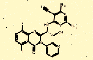 CC[C@@H](Nc1nc(C)nc(N)c1C#N)c1nc2c(F)ccc(Cl)c2c(=O)n1-c1cccnc1